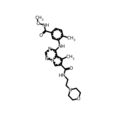 CONC(=O)c1ccc(C)c(Nc2ncnn3cc(C(=O)NCCN4CCOCC4)c(C)c23)c1